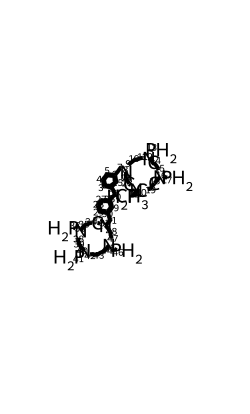 CC(c1cccc(CN2CCCN(P)CCN(P)CCCN(P)CC2)c1)c1cccc(CN2CCCN(P)CCN(P)CCCN(P)CC2)c1